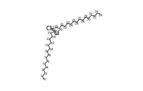 CCCCCCCCCCCCCCCC[Si](Cl)(Cl)CCCCCCCCCCCCCCCC